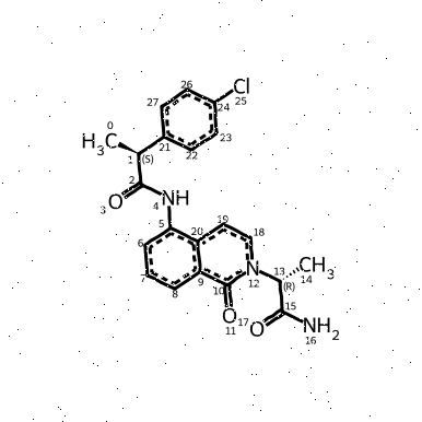 C[C@H](C(=O)Nc1cccc2c(=O)n([C@H](C)C(N)=O)ccc12)c1ccc(Cl)cc1